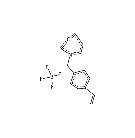 C=Cc1ccc(C[n+]2ccccc2)cc1.F[B-](F)(F)F